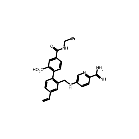 C=Cc1ccc(-c2ccc(C(=O)NCC(C)C)cc2C(=O)O)c(CNc2ccc(C(=N)N)nc2)c1